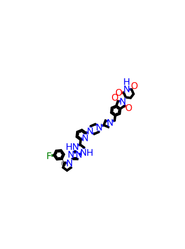 O=C1CCC(N2C(=O)c3ccc(CN4CC(N5CCN(c6cccc(C7CNn8cc(N9CCC[C@@H]9c9cccc(F)c9)nc8N7)n6)CC5)C4)cc3C2=O)C(=O)N1